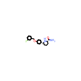 NC(=O)[C@@H]1CCC[C@H](c2ccc(OCc3cccc(F)c3)cc2)N1